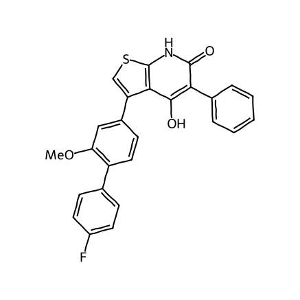 COc1cc(-c2csc3[nH]c(=O)c(-c4ccccc4)c(O)c23)ccc1-c1ccc(F)cc1